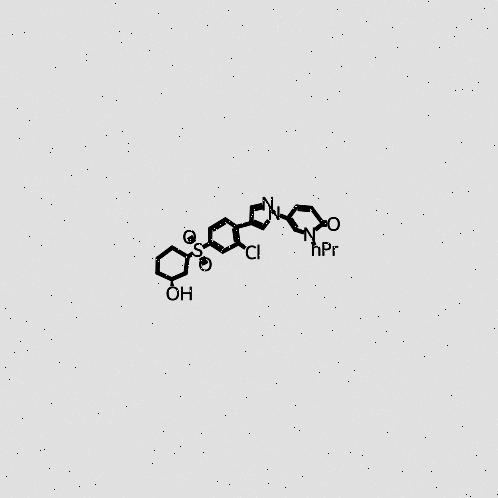 CCCn1cc(-n2cc(-c3ccc(S(=O)(=O)C4CCC[C@H](O)C4)cc3Cl)cn2)ccc1=O